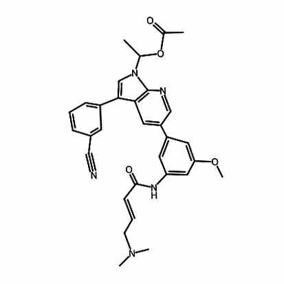 COc1cc(NC(=O)/C=C/CN(C)C)cc(-c2cnc3c(c2)c(-c2cccc(C#N)c2)cn3C(C)OC(C)=O)c1